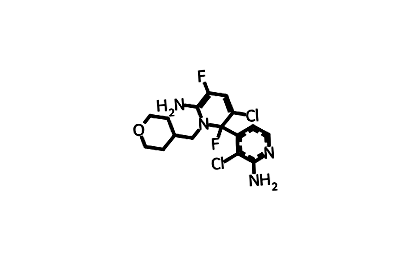 NC1=C(F)C=C(Cl)C(F)(c2ccnc(N)c2Cl)N1CC1CCOCC1